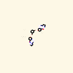 C=C1CC2C=Nc3cc(OCc4cc(COc5cc6c(cc5OC)C(=O)N5CC(=C)C[C@H]5C=N6)cc(OC)c4)c(OC)cc3C(=O)N2C1